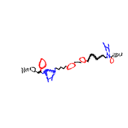 CCC(C)C(=O)NCCCCCOCCOCCCCCNC(=O)COC